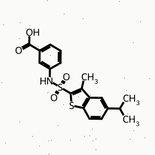 Cc1c(S(=O)(=O)Nc2cccc(C(=O)O)c2)sc2ccc(C(C)C)cc12